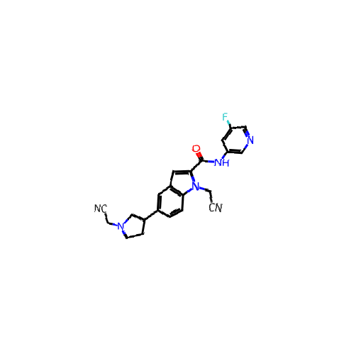 N#CCN1CCC(c2ccc3c(c2)cc(C(=O)Nc2cncc(F)c2)n3CC#N)C1